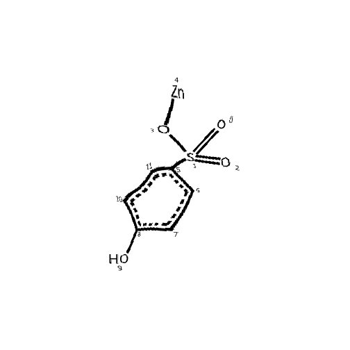 O=S(=O)([O][Zn])c1ccc(O)cc1